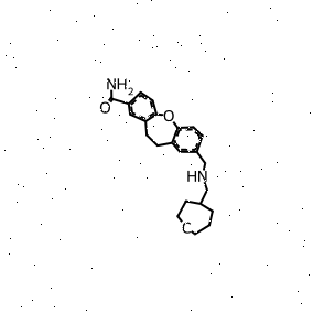 NC(=O)c1ccc2c(c1)CCc1cc(CNCC3CCCCCC3)ccc1O2